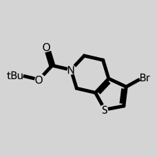 CC(C)(C)OC(=O)N1CCc2c(Br)csc2C1